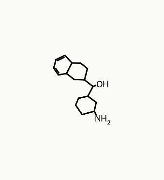 NC1CCCC(C(O)C2CCC3C=CC=CC3C2)C1